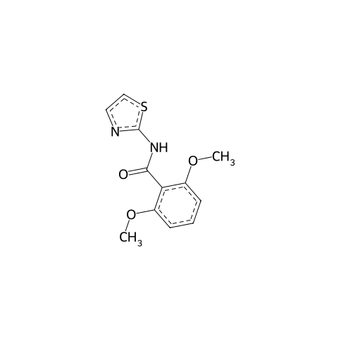 COc1cccc(OC)c1C(=O)Nc1nccs1